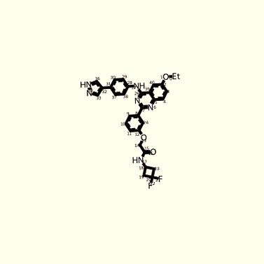 CCOc1ccc2nc(-c3cccc(OCC(=O)NC4CC(F)(F)C4)c3)nc(Nc3ccc(-c4cn[nH]c4)cc3)c2c1